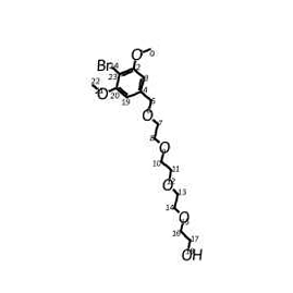 COc1cc(COCCOCCOCCOCCO)cc(OC)c1Br